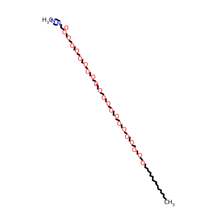 CCCCCCCCC=CCCCCCCCCOCCOCCOCCOCCOCCOCCOCCOCCOCCOCCOCCOCCOCCOCCOCCOCCOCCOCCOCCOCCOC(=O)CCN1CCN(C)CC1